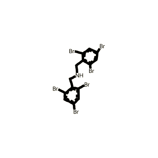 Brc1cc(Br)c(CNCc2c(Br)cc(Br)cc2Br)c(Br)c1